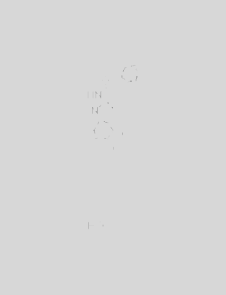 O=C1NC2=Nc3ccc(OCCCCCCCCO)c(Cl)c3CN2C1Cc1ccccc1